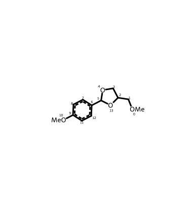 COCC1COC(c2ccc(OC)cc2)O1